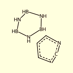 B1NBNBN1.c1ccncc1